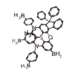 Bc1ccc(N2c3cc(B)cc4c3S3(CC)c5c2cc(B)cc5N(c2ccc(B)cc2)c2cc5c(c(c23)O4)-c2ccccc2C5(c2ccccc2)c2ccccc2)cc1